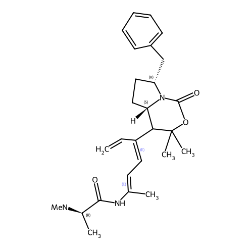 C=C/C(=C\C=C(/C)NC(=O)[C@@H](C)NC)C1[C@@H]2CC[C@H](Cc3ccccc3)N2C(=O)OC1(C)C